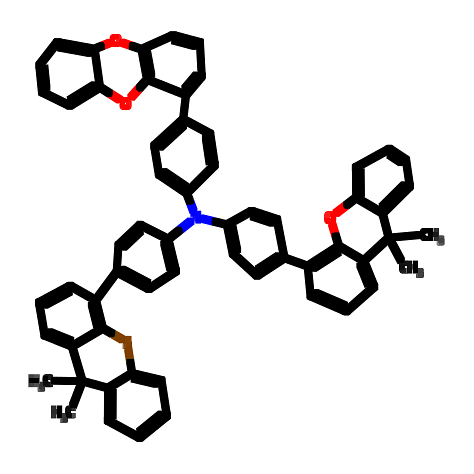 CC1(C)c2ccccc2Oc2c(-c3ccc(N(c4ccc(-c5cccc6c5Oc5ccccc5O6)cc4)c4ccc(-c5cccc6c5Sc5ccccc5C6(C)C)cc4)cc3)cccc21